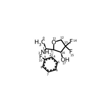 C[C@H](N)[C@@]1(c2ccccc2F)OCC(F)(F)[C@H]1O